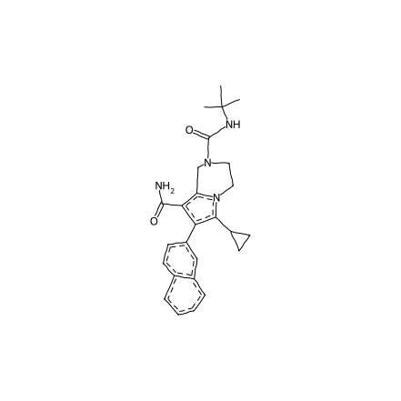 CC(C)(C)NC(=O)N1CCn2c(c(C(N)=O)c(-c3ccc4ccccc4c3)c2C2CC2)C1